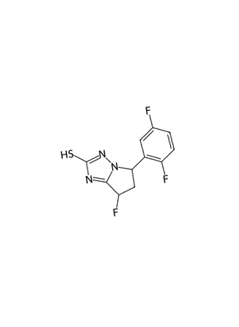 Fc1ccc(F)c(C2CC(F)c3nc(S)nn32)c1